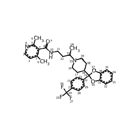 Cc1ccnc(C)c1C(=O)NCCC(C)N1CCC(C2(c3ccc(C(F)(F)F)cc3)Oc3ccccc3O2)CC1